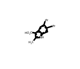 Cc1[nH]c2cc(C(C)C)c(C(C)C)cc2c1C(=O)O